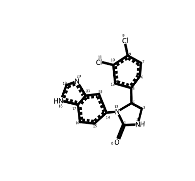 O=C1NCC(c2ccc(Cl)c(Cl)c2)N1c1ccc2[nH]cnc2c1